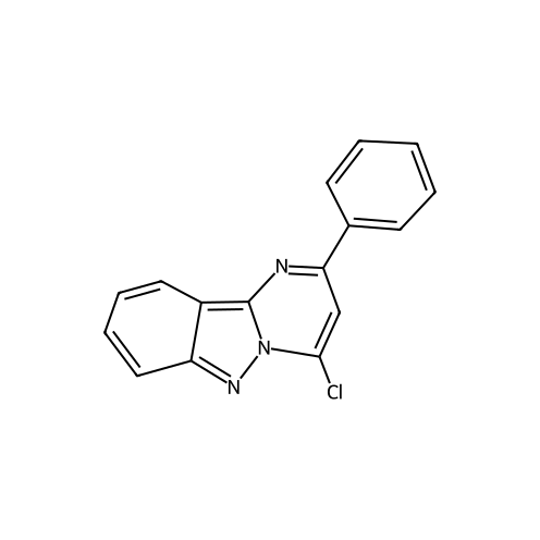 Clc1cc(-c2ccccc2)nc2c3ccccc3nn12